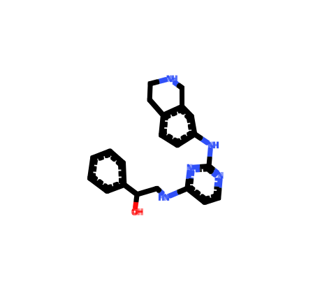 OC(CNc1ccnc(Nc2ccc3c(c2)CNCC3)n1)c1ccccc1